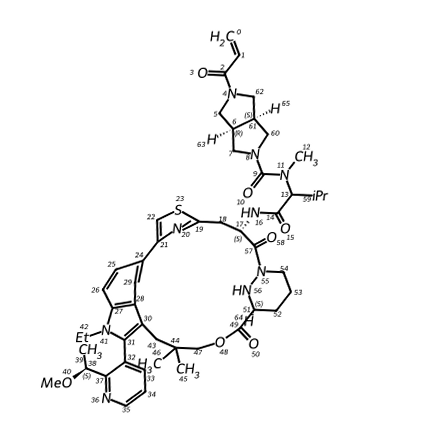 C=CC(=O)N1C[C@@H]2CN(C(=O)N(C)C(C(=O)N[C@H]3Cc4nc(cs4)-c4ccc5c(c4)c(c(-c4cccnc4[C@H](C)OC)n5CC)CC(C)(C)COC(=O)[C@@H]4CCCN(N4)C3=O)C(C)C)C[C@@H]2C1